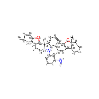 C=Nc1cccc(N2C3CC#CC=C3C3(C)c4oc5c(c4C=CC23)CC(C)C=C5)c1C1=CC2=C(CC1)O[C@@H]1CCC=CC21